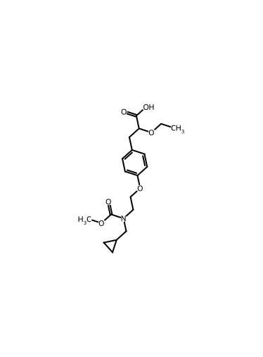 CCOC(Cc1ccc(OCCN(CC2CC2)C(=O)OC)cc1)C(=O)O